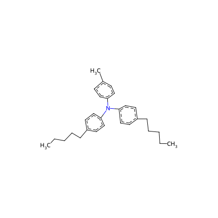 CCCCCc1ccc(N(c2ccc(C)cc2)c2ccc(CCCCC)cc2)cc1